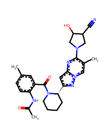 CC(=O)Nc1ccc(C)cc1C(=O)N1CCCC[C@H]1c1cc2nc(N3CC(O)C(C#N)C3)c(C)cn2n1